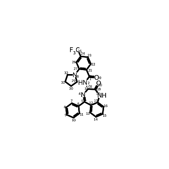 O=C(N[C@H]1N=C(c2ccccc2)c2ccccc2NC1=O)c1ccc(C(F)(F)F)cc1N1CCCC1